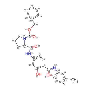 Cc1ccc2oc(-c3ccc(NC(=O)C4CCCN4C(=O)OCc4ccccc4)cc3O)nc2c1